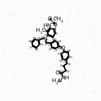 Cc1c(NS(C)(=O)=O)cccc1N(Cc1ccccc1)Cc1ccc(Oc2ccc(CCCC(=O)NN)cc2)cc1